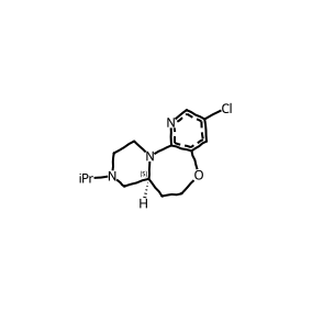 CC(C)N1CCN2c3ncc(Cl)cc3OCC[C@H]2C1